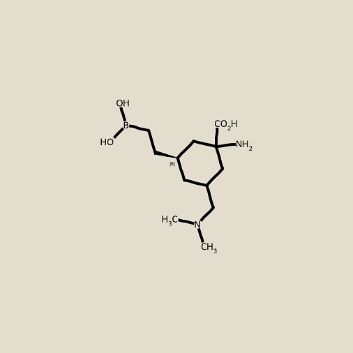 CN(C)CC1C[C@@H](CCB(O)O)CC(N)(C(=O)O)C1